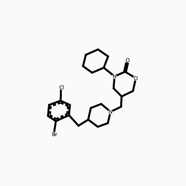 O=C1OCC(CN2CCC(Cc3cc(Cl)ccc3Br)CC2)CN1C1CCCCC1